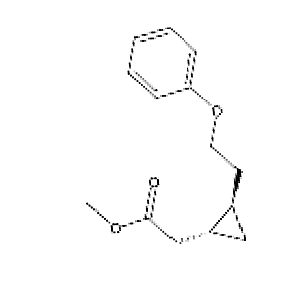 COC(=O)C[C@H]1C[C@@H]1CCOc1ccccc1